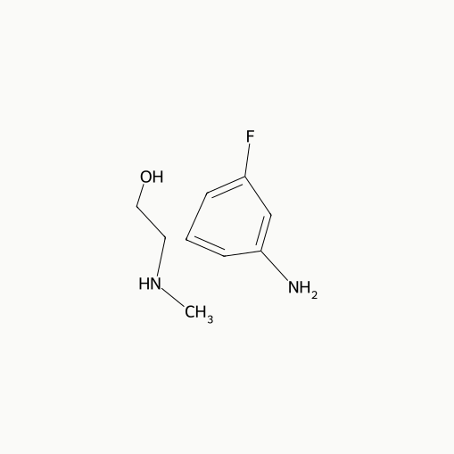 CNCCO.Nc1cccc(F)c1